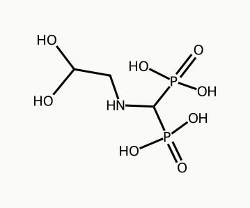 O=P(O)(O)C(NCC(O)O)P(=O)(O)O